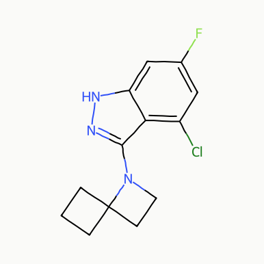 Fc1cc(Cl)c2c(N3CCC34CCC4)n[nH]c2c1